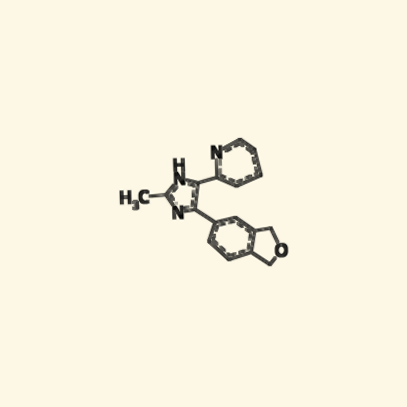 Cc1nc(-c2ccc3c(c2)COC3)c(-c2ccccn2)[nH]1